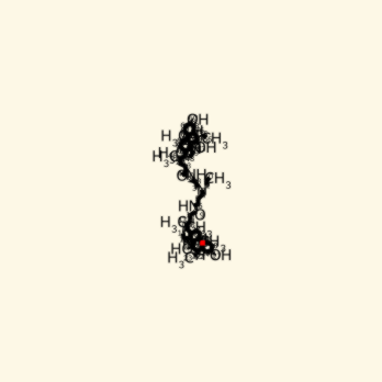 CCCN(CCCNC(=O)CC[C@@H](C)[C@H]1CC[C@H]2[C@@H]3[C@H](O)[C@H](CC)[C@@H]4C[C@H](O)CC[C@]4(C)[C@H]3CC[C@]12C)CCCNC(=O)CC[C@@H](C)[C@H]1CC[C@H]2[C@@H]3[C@H](O)[C@H](CC)[C@@H]4C[C@H](O)CC[C@]4(C)[C@H]3CC[C@]12C